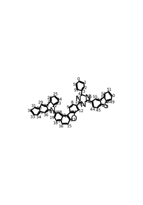 c1ccc(-c2nc(-c3ccc4c(c3)oc3ccc5ccc(-n6c7ccccc7c7cc8ccccc8cc76)cc5c34)nc(-c3ccc4sc5ccccc5c4c3)n2)cc1